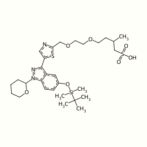 CC(CCOCCOCc1ncc(-c2nn(C3CCCCO3)c3ccc(O[Si](C)(C)C(C)(C)C)cc23)s1)CS(=O)(=O)O